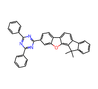 CC1(C)c2ccccc2-c2ccc3c(oc4cc(-c5nc(-c6ccccc6)nc(-c6ccccc6)n5)ccc43)c21